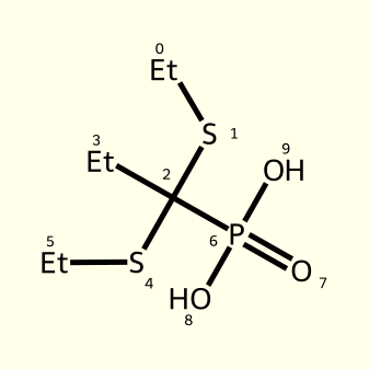 CCSC(CC)(SCC)P(=O)(O)O